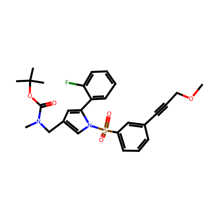 COCC#Cc1cccc(S(=O)(=O)n2cc(CN(C)C(=O)OC(C)(C)C)cc2-c2ccccc2F)c1